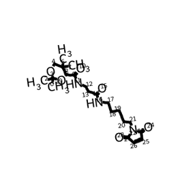 CC1(C)OCC(C)(C)C(C(=O)NCCC(=O)NCCCCCN2C(=O)C=CC2=O)O1